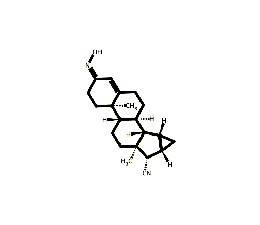 C[C@]12CC[C@H]3[C@@H](CCC4=C/C(=N\O)CC[C@@]43C)[C@@H]1[C@@H]1C[C@@H]1[C@@H]2C#N